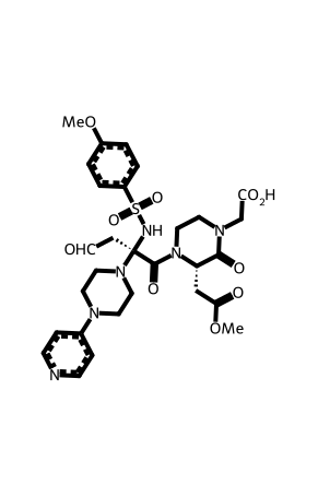 COC(=O)C[C@H]1C(=O)N(CC(=O)O)CCN1C(=O)[C@](CC=O)(NS(=O)(=O)c1ccc(OC)cc1)N1CCN(c2ccncc2)CC1